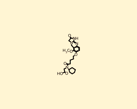 COc1c(OCCCCC(=O)N(CC(=O)O)C2CCCCC2)ccc2c1CN1CC(=O)NC1=N2